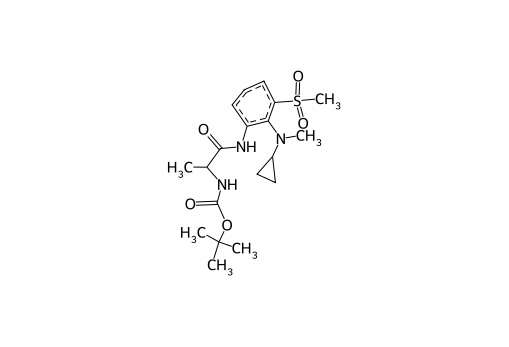 CC(NC(=O)OC(C)(C)C)C(=O)Nc1cccc(S(C)(=O)=O)c1N(C)C1CC1